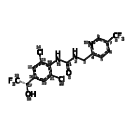 O=C(NCc1ccc(C(F)(F)F)cn1)Nc1c(Cl)cc([C@H](O)C(F)(F)F)cc1Cl